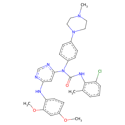 COc1ccc(Nc2cc(N(C(=O)Nc3c(C)cccc3Cl)c3ccc(N4CCN(C)CC4)cc3)ncn2)c(OC)c1